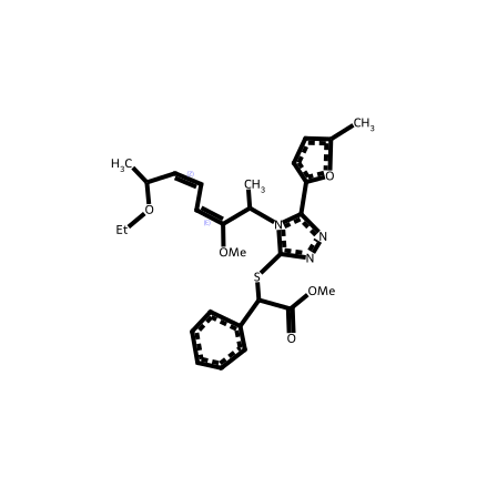 CCOC(C)/C=C\C=C(\OC)C(C)n1c(SC(C(=O)OC)c2ccccc2)nnc1-c1ccc(C)o1